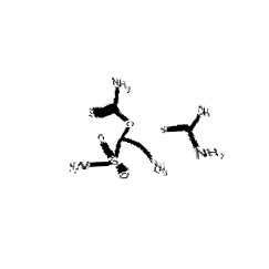 CC(OC(N)=S)S(N)(=O)=O.NC(O)=S